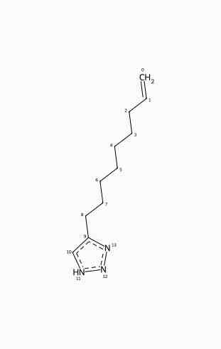 C=CCCCCCCCc1c[nH]nn1